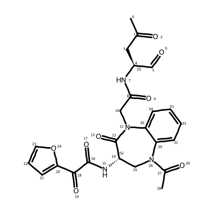 CC(=O)C[C@@H](C=O)NC(=O)CN1C(=O)[C@@H](NC(=O)C(=O)c2ccco2)CN(C(C)=O)c2ccccc21